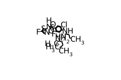 CCCC(NC[C@H](CC(C)C)[C@@H](C)N)Nc1cc(F)c(S(=O)(=O)Nc2ncc(F)s2)cc1Cl